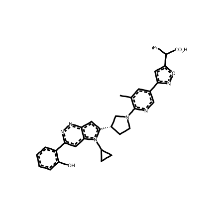 Cc1cc(-c2cc(C(C(=O)O)C(C)C)on2)cnc1N1CC[C@H](c2cc3nnc(-c4ccccc4O)cc3n2C2CC2)C1